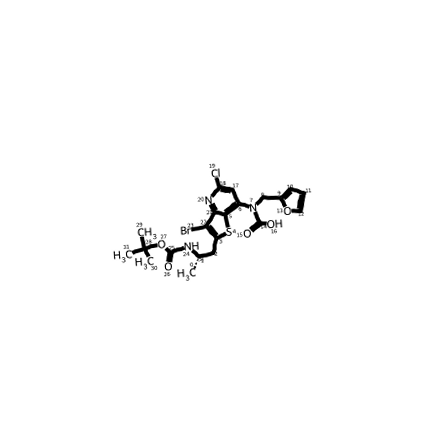 C[C@@H](Cc1sc2c(N(Cc3ccco3)C(=O)O)cc(Cl)nc2c1Br)NC(=O)OC(C)(C)C